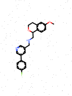 COc1ccc2c(c1)CCOC2CNCc1cncc(-c2ccc(F)cc2)c1